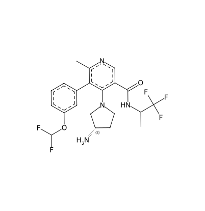 Cc1ncc(C(=O)NC(C)C(F)(F)F)c(N2CC[C@H](N)C2)c1-c1cccc(OC(F)F)c1